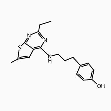 CCc1nc(NCCCc2ccc(O)cc2)c2cc(C)sc2n1